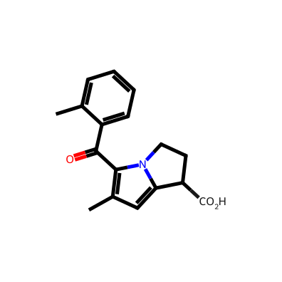 Cc1ccccc1C(=O)c1c(C)cc2n1CCC2C(=O)O